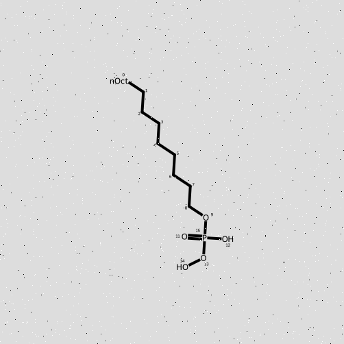 CCCCCCCCCCCCCCCCOP(=O)(O)OO